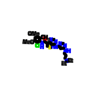 CCN(CC)CCCNc1cc(Nc2ncnc3c(C(=O)Nc4c(C)c(OC)cc(OC)c4Cl)csc23)ncn1